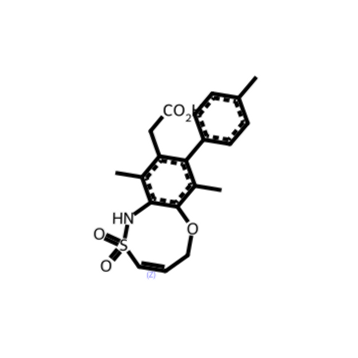 Cc1ccc(-c2c(C)c3c(c(C)c2CC(=O)O)NS(=O)(=O)/C=C\CO3)cc1